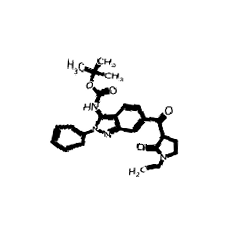 C=CN1CCC(C(=O)c2ccc3c(NC(=O)OC(C)(C)C)n(-c4ccccc4)nc3c2)C1=O